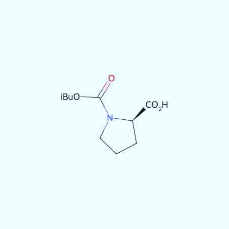 CC(C)COC(=O)N1CCC[C@@H]1C(=O)O